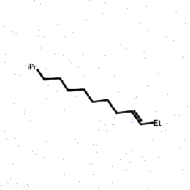 [CH2]C/C=C/CCCCCCCC(C)C